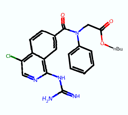 CCCCOC(=O)CN(C(=O)c1ccc2c(Cl)cnc(NC(=N)N)c2c1)c1ccccc1